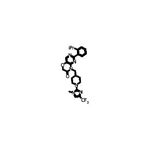 CC(C)c1ccccc1-c1ncc2c(n1)N(CC1CCN(c3nc(C(F)(F)F)cn3C)CC1)C(=O)CO2